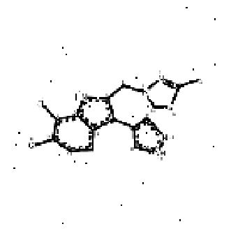 CC1=NN(Cc2[nH]c3c(Cl)c(Cl)ccc3c2-c2cn[nH]c2)CS1